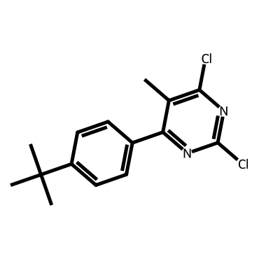 Cc1c(Cl)nc(Cl)nc1-c1ccc(C(C)(C)C)cc1